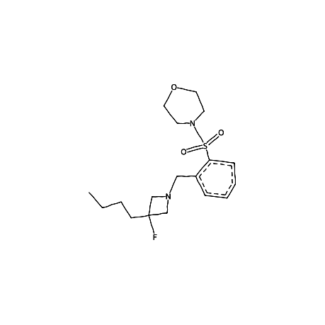 CCCCC1(F)CN(Cc2ccccc2S(=O)(=O)N2CCOCC2)C1